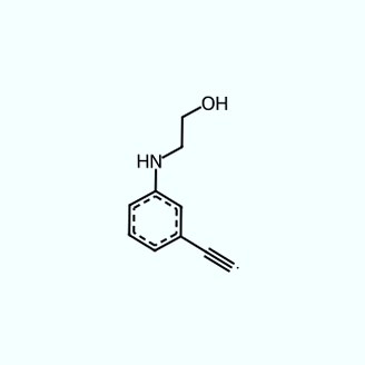 [C]#Cc1cccc(NCCO)c1